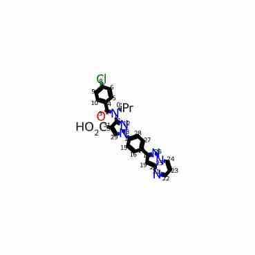 CC(C)N(C(=O)c1ccc(Cl)cc1)c1nn(-c2ccc(-c3cc4ncccn4n3)cc2)cc1C(=O)O